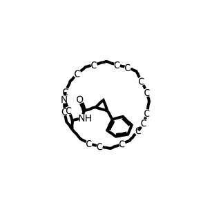 O=C(NC1CN2CCCCCCCCCCCCCCCCCCCCCC1CC2)C1CC1c1ccccc1